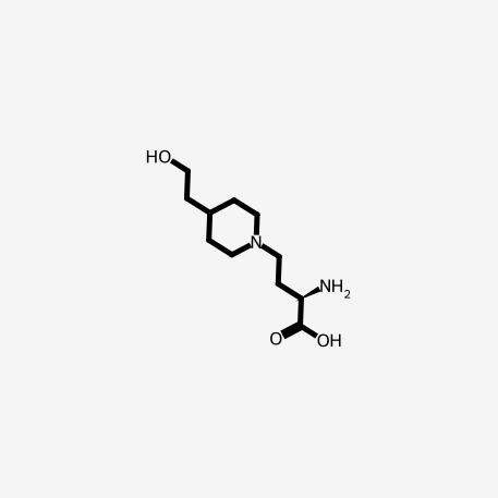 N[C@H](CCN1CCC(CCO)CC1)C(=O)O